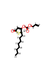 C=CCOC(=O)OC1=CC(=O)S[C@]1(C)CCCCCCCC